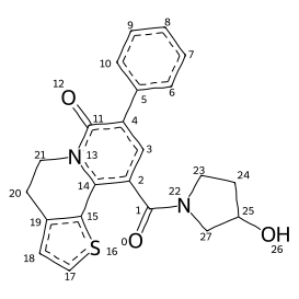 O=C(c1cc(-c2ccccc2)c(=O)n2c1-c1sccc1CC2)N1CCC(O)C1